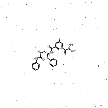 CCCN(CCC)C(=O)c1cc(C)cc(C(=O)N[C@H]([CH]C(C)C(=O)Nc2ccccc2)Cc2ccccc2)c1